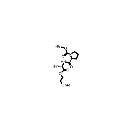 COCCOC(=O)[C@H](NC(=O)[C@@H]1CCCN1C(=O)OC(C)(C)C)C(C)C